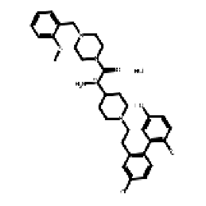 CSc1ccccc1CN1CCN(C(=O)[C@H](N)C2CCN(CCc3cc(Cl)ccc3-c3cc(O)ccc3Cl)CC2)CC1.Cl